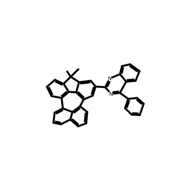 CC1(C)c2cccc3c2-c2c(cc(-c4nc(-c5ccccc5)c5ccccc5n4)cc21)-c1cccc2cccc-3c12